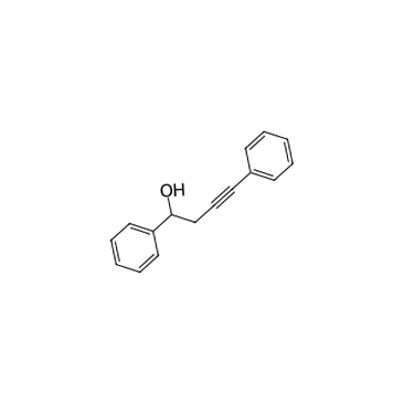 OC(CC#Cc1ccccc1)c1ccccc1